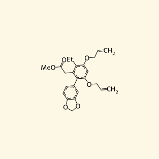 C=CCOc1cc(OCC=C)c(-c2ccc3c(c2)OCO3)c(CC(=O)OC)c1CC